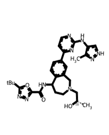 Cc1n[nH]cc1Nc1nccc(-c2ccc3c(c2)CN(C[C@H](C)O)CCC3NC(=O)c2nnc(C(C)(C)C)o2)n1